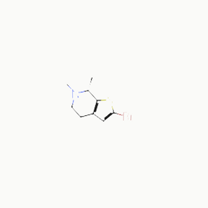 C[C@H]1c2sc(Br)cc2CCN1C